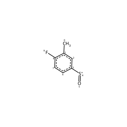 Cc1cc([S+]=O)ccc1F